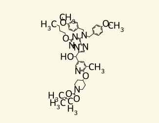 CCCCOc1nc(N(Cc2ccc(OC)cc2)Cc2ccc(OC)cc2)c2ncc(C(O)c3cnc(OC4CCN(C(=O)OC(C)(C)C)CC4)c(C)c3)n2n1